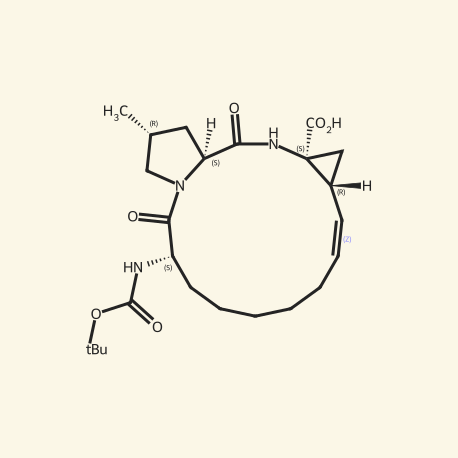 C[C@@H]1C[C@H]2C(=O)N[C@@]3(C(=O)O)C[C@@H]3/C=C\CCCCC[C@H](NC(=O)OC(C)(C)C)C(=O)N2C1